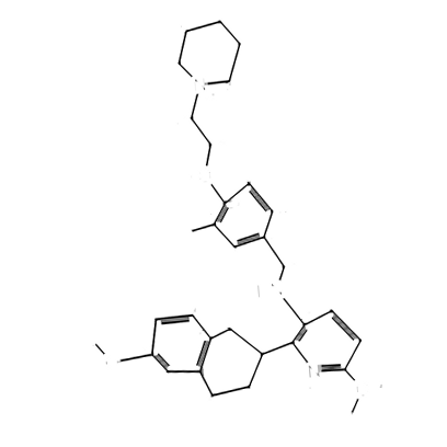 COc1ccc2c(c1)CCC(c1nc(OC)ccc1NCc1ccc(OCCN3CCCCC3)c(F)c1)C2